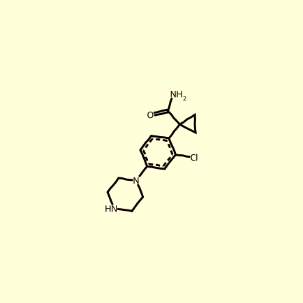 NC(=O)C1(c2ccc(N3CCNCC3)cc2Cl)CC1